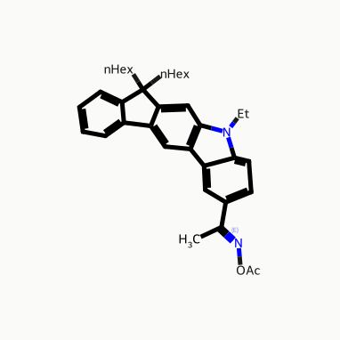 CCCCCCC1(CCCCCC)c2ccccc2-c2cc3c4cc(/C(C)=N/OC(C)=O)ccc4n(CC)c3cc21